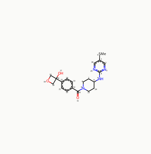 CSc1cnc(NC2CCN(C(=O)c3ccc(C4(O)COC4)cc3)CC2)nc1